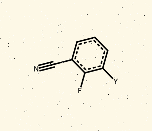 N#Cc1ccc[c]([Y])c1F